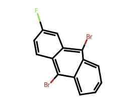 Fc1ccc2c(Br)c3ccccc3c(Br)c2c1